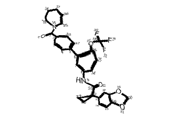 O=C(c1ccc(-c2cc(NC(=O)C3(c4ccc5c(c4)OCO5)CC3)ccc2OC(F)(F)F)cc1)N1CCCCC1